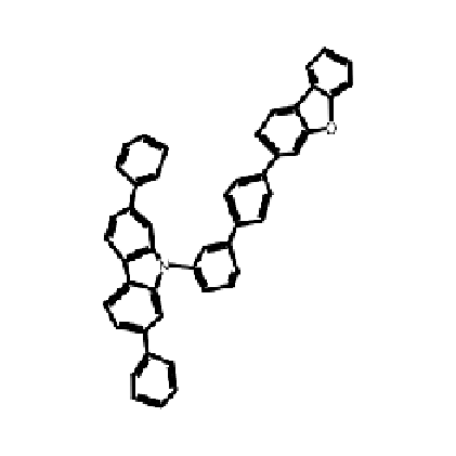 c1ccc(-c2ccc3c4ccc(-c5ccccc5)cc4n(-c4cccc(-c5ccc(-c6ccc7c(c6)oc6ccccc67)cc5)c4)c3c2)cc1